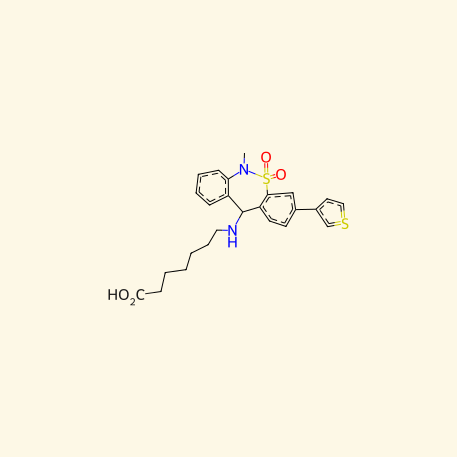 CN1c2ccccc2C(NCCCCCCC(=O)O)c2ccc(-c3ccsc3)cc2S1(=O)=O